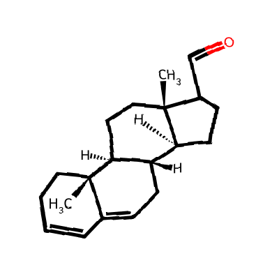 C[C@]12CCC=CC1=CC[C@@H]1[C@@H]2CC[C@]2(C)C(C=O)CC[C@@H]12